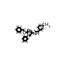 CN1CCC(CCNC(=O)CN(C(=O)OCc2ccccc2)c2ccccc2)CC1